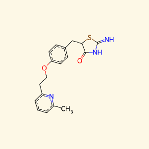 Cc1cccc(CCOc2ccc(CC3SC(=N)NC3=O)cc2)n1